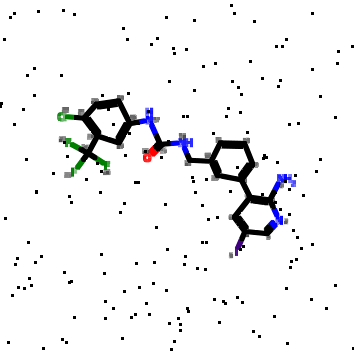 Nc1ncc(I)cc1-c1cccc(CNC(=O)Nc2ccc(Cl)c(C(F)(F)F)c2)c1